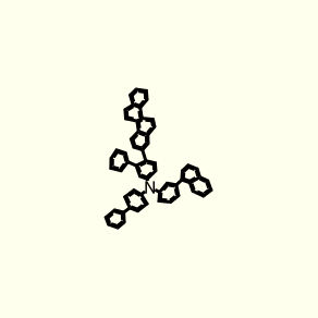 c1ccc(-c2ccc(N(c3cccc(-c4cccc5ccccc45)c3)c3ccc(-c4ccc5c(ccc6c7ccccc7ccc56)c4)c(-c4ccccc4)c3)cc2)cc1